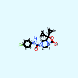 O=C(Nc1ccc(F)cc1)N1CCN2C(=O)OC(C3CC3)(C3CC3)C2C1